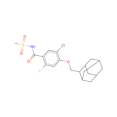 CS(=O)(=O)NC(=O)c1cc(Cl)c(OCC2C3CC4CC(C3)CC2C4)cc1F